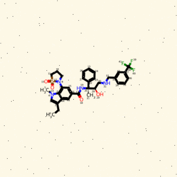 CCc1cn(C)c2c(N3CCCS3(=O)=O)cc(C(=O)N[C@@](C)(c3ccccc3)[C@H](O)CNCc3cccc(C(F)(F)F)c3)cc12